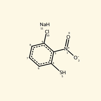 O=[N+]([O-])c1c(S)cccc1Cl.[NaH]